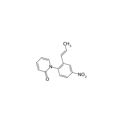 CC=Cc1cc([N+](=O)[O-])ccc1-n1ccccc1=O